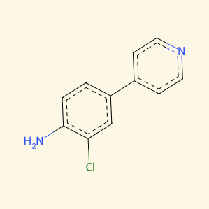 Nc1ccc(-c2ccncc2)cc1Cl